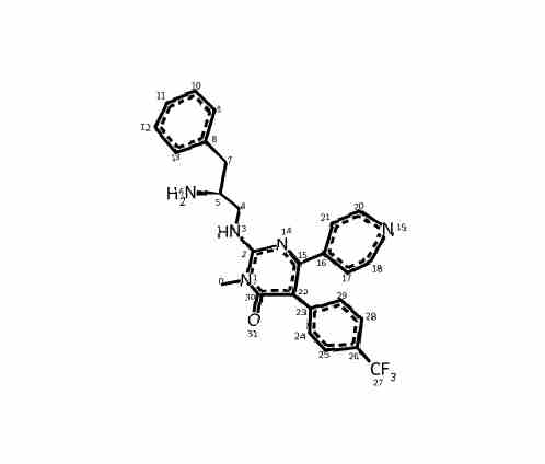 Cn1c(NC[C@@H](N)Cc2ccccc2)nc(-c2ccncc2)c(-c2ccc(C(F)(F)F)cc2)c1=O